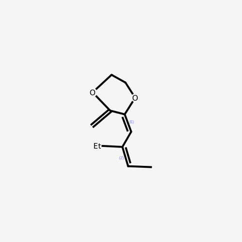 C=C1OCCO/C1=C/C(=C\C)CC